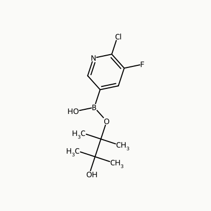 CC(C)(O)C(C)(C)OB(O)c1cnc(Cl)c(F)c1